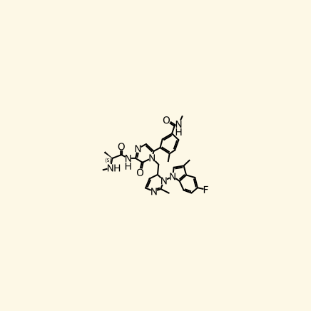 CNC(=O)c1ccc(C)c(-c2cnc(NC(=O)[C@H](C)NC)c(=O)n2CC2C=CN=C(C)N2n2cc(C)c3cc(F)ccc32)c1